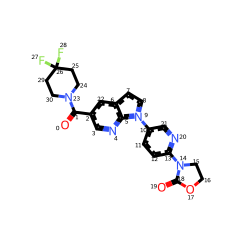 O=C(c1cnc2c(ccn2-c2ccc(N3CCOC3=O)nc2)c1)N1CCC(F)(F)CC1